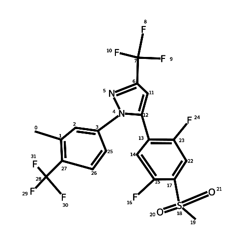 Cc1cc(-n2nc(C(F)(F)F)cc2-c2cc(F)c(S(C)(=O)=O)cc2F)ccc1C(F)(F)F